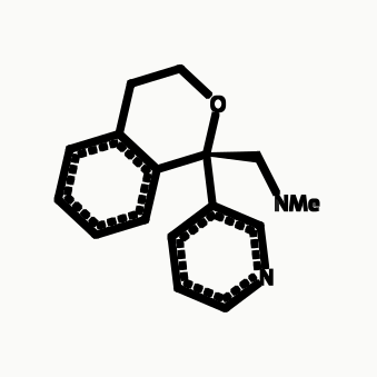 CNC[C@]1(c2cccnc2)OCCc2ccccc21